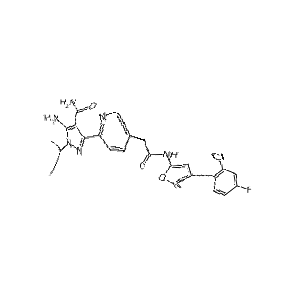 CC(C)n1nc(-c2ccc(CC(=O)Nc3cc(-c4ccc(F)cc4Cl)no3)cn2)c(C(N)=O)c1N